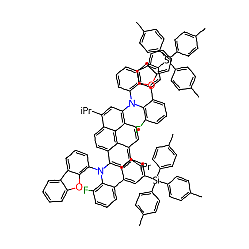 Cc1ccc([Si](c2ccc(C)cc2)(c2ccc(C)cc2)c2cccc(-c3cccc(F)c3N(c3cc(C(C)C)c4ccc5c(N(c6c(F)cccc6-c6cccc([Si](c7ccc(C)cc7)(c7ccc(C)cc7)c7ccc(C)cc7)c6)c6cccc7c6oc6ccccc67)cc(C(C)C)c6ccc3c4c65)c3cccc4c3oc3ccccc34)c2)cc1